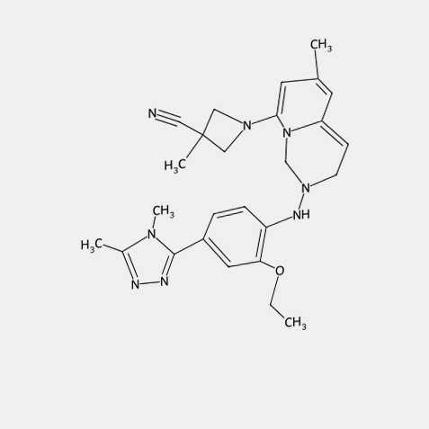 CCOc1cc(-c2nnc(C)n2C)ccc1NN1CC=C2C=C(C)C=C(N3CC(C)(C#N)C3)N2C1